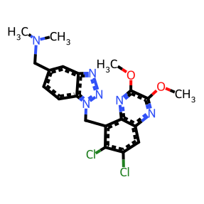 COc1nc2cc(Cl)c(Cl)c(Cn3nnc4cc(CN(C)C)ccc43)c2nc1OC